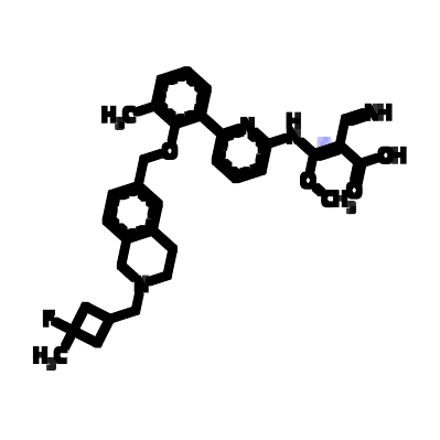 CO/C(Nc1cccc(-c2cccc(C)c2OCc2ccc3c(c2)CCN(CC2CC(C)(F)C2)C3)n1)=C(/C=N)C(=O)O